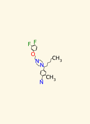 CCCCCC(c1ccc(C#N)c(C)c1)N1CCN(CCOc2ccc(F)c(F)c2)CC1